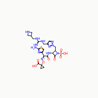 N=C(NCc1cnn(CC2C(NC(=O)/C(=N\OC3(C(=O)O)CC3)c3csc(N)n3)C(=O)N2S(=O)(=O)O)n1)NCC1CNC1